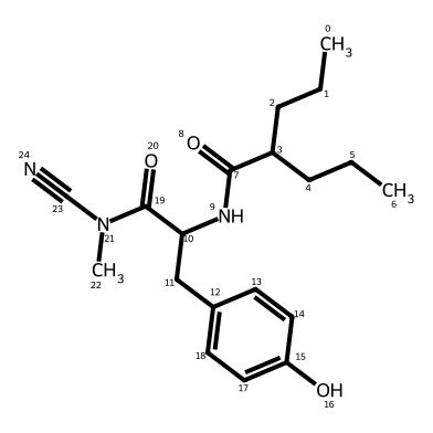 CCCC(CCC)C(=O)NC(Cc1ccc(O)cc1)C(=O)N(C)C#N